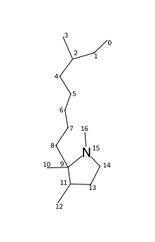 CCC(C)CCCCCC1(C)C(C)CCN1C